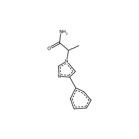 CC(C(N)=O)n1cnc(-c2ccccc2)c1